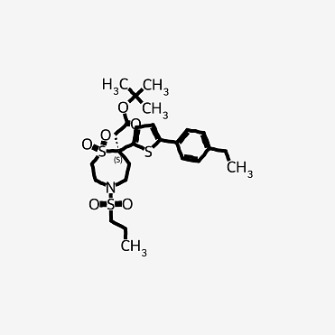 CCCS(=O)(=O)N1CC[C@](CC(=O)OC(C)(C)C)(c2ccc(-c3ccc(CC)cc3)s2)S(=O)(=O)CC1